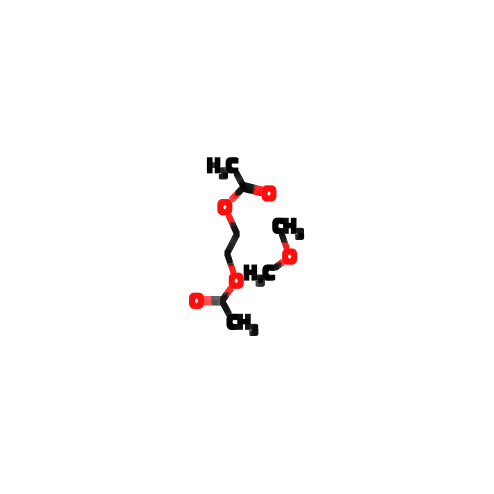 CC(=O)OCCOC(C)=O.COC